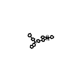 c1ccc(-c2ccc(N(c3ccc(-c4ccc5c6c(cccc46)-c4oc(-c6ccccc6)nc4-5)cc3)c3ccc4ccccc4c3)cc2)cc1